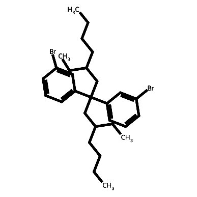 CCCCC(CC)CC(CC(CC)CCCC)(c1cccc(Br)c1)c1cccc(Br)c1